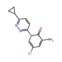 Nc1cc(Cl)cn(-c2ccc(C3CC3)nn2)c1=O